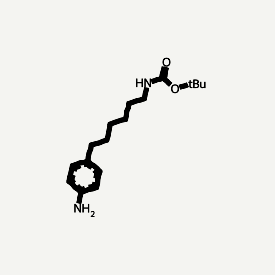 CC(C)(C)OC(=O)NCCCCCCc1ccc(N)cc1